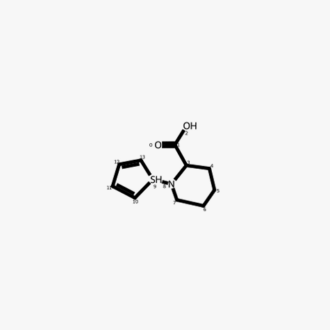 O=C(O)C1CCCCN1[SH]1C=CC=C1